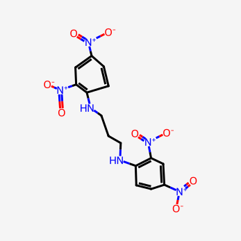 O=[N+]([O-])c1ccc(NCCCNc2ccc([N+](=O)[O-])cc2[N+](=O)[O-])c([N+](=O)[O-])c1